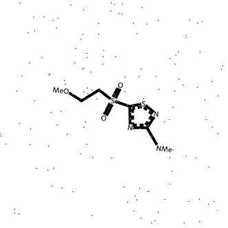 C[N]c1nsc(S(=O)(=O)CCOC)n1